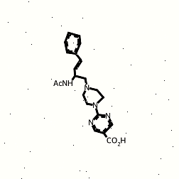 CC(=O)NC(/C=C/c1ccccc1)CN1CCN(c2ncc(C(=O)O)cn2)CC1